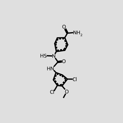 COc1c(Cl)cc(NC(=O)N(S)c2ccc(C(N)=O)cc2)cc1Cl